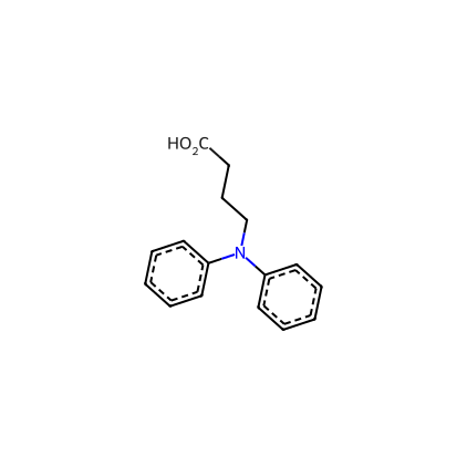 O=C(O)CCCN(c1ccccc1)c1ccccc1